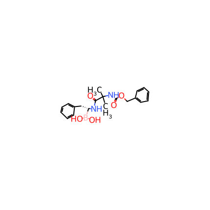 CC(C)(NC(=O)OCc1ccccc1)C(=O)N[C@@H](Cc1ccccc1)B(O)O